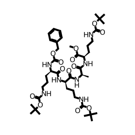 COC(=O)[C@@H](CCCNC(=O)OC(C)(C)C)NC(=O)[C@@H](C)NC(=O)[C@@H](CCCNC(=O)OC(C)(C)C)NC(=O)[C@@H](CCCNC(=O)OC(C)(C)C)NC(=O)OCc1ccccc1